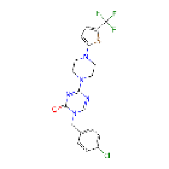 O=c1nc(N2CCN(c3ccc(C(F)(F)F)s3)CC2)ncn1Cc1ccc(Cl)cc1